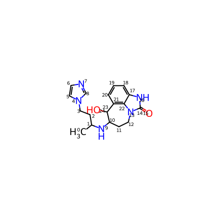 CC(CCn1ccnc1)NC1CCn2c(=O)[nH]c3cccc(c32)C1O